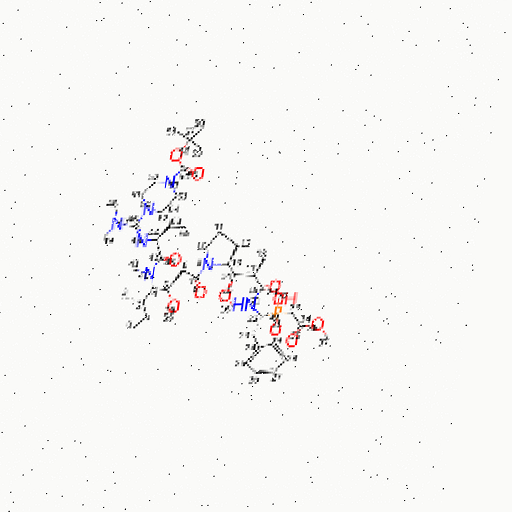 CC[C@H](C)[C@@H]([C@@H](CC(=O)N1CCC[C@H]1[C@H](OC)[C@@H](C)C(=O)N[C@@H](Cc1ccccc1)P(=O)(O)CC(=O)OC)OC)N(C)C(=O)[C@@H](/N=C(/N(C)C)N1CCN(C(=O)OC(C)(C)C)CC1)C(C)C